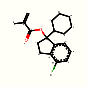 C=C(C)C(=O)OC1(C2CCCCC2)CCc2c(F)cccc21